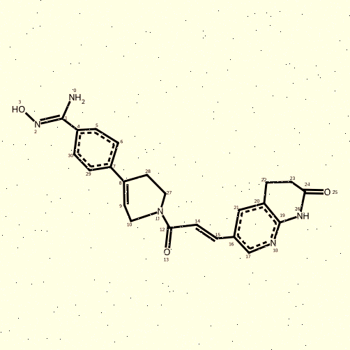 NC(=NO)c1ccc(C2=CCN(C(=O)C=Cc3cnc4c(c3)CCC(=O)N4)CC2)cc1